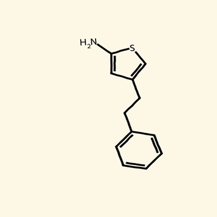 Nc1cc(CCc2ccccc2)cs1